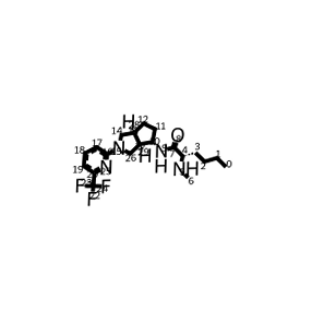 CCCC[C@H](NC)C(=O)N[C@H]1CC[C@@H]2CN(c3cccc(C(F)(F)F)n3)C[C@@H]21